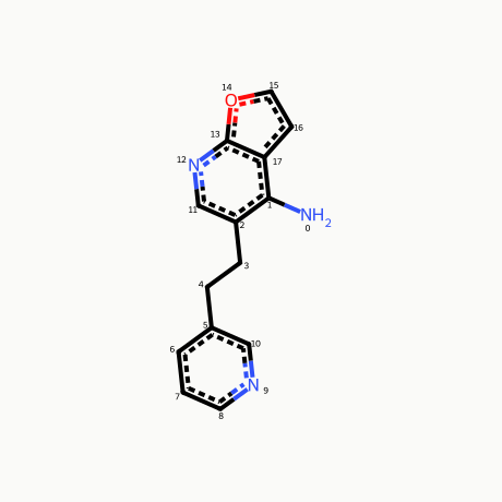 Nc1c(CCc2cccnc2)cnc2occc12